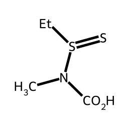 CCS(=S)N(C)C(=O)O